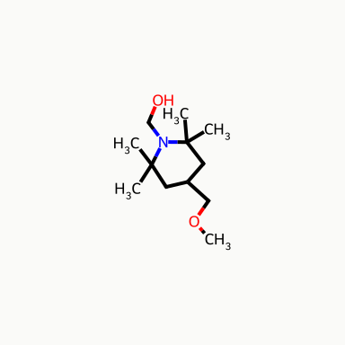 COCC1CC(C)(C)N(CO)C(C)(C)C1